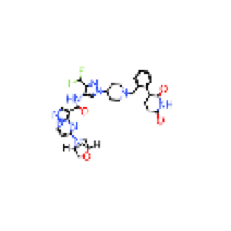 O=C1CCC(c2ccccc2CN2CCC(n3cc(NC(=O)c4cnn5ccc(N6C[C@H]7C[C@@H]6CO7)nc45)c(C(F)F)n3)CC2)C(=O)N1